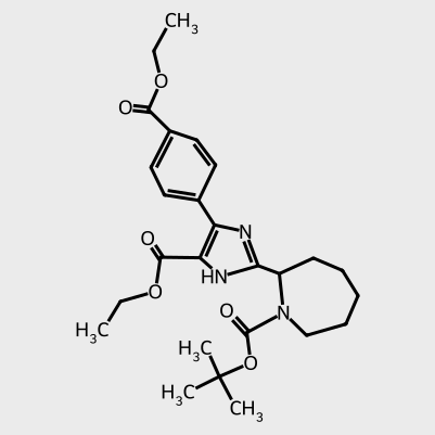 CCOC(=O)c1ccc(-c2nc(C3CCCCCN3C(=O)OC(C)(C)C)[nH]c2C(=O)OCC)cc1